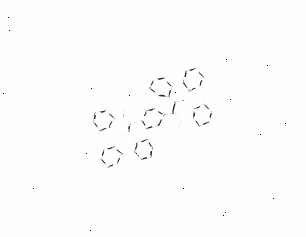 COC/C(=C(\B(c1ccccc1)c1ccccc1)c1ccccc1)c1ccc(/C(COC)=C(/B(c2ccccc2)c2ccccc2)c2ccccc2)cc1